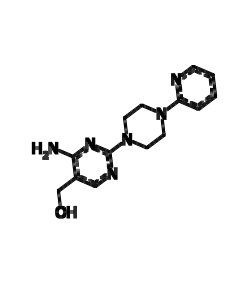 Nc1nc(N2CCN(c3ccccn3)CC2)ncc1CO